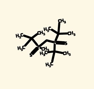 CC(C)(C)P(C)(=S)CP(=S)(C(C)(C)C)C(C)(C)C